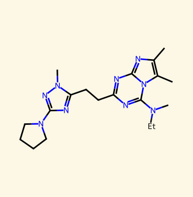 CCN(C)c1nc(CCc2nc(N3CCCC3)nn2C)nc2nc(C)c(C)n12